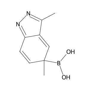 CC1=NN=C2C=CC(C)(B(O)O)C=C12